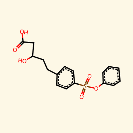 O=C(O)CC(O)CCc1ccc(S(=O)(=O)Oc2ccccc2)cc1